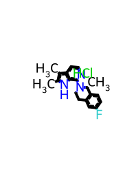 Cc1[nH]c2c(N3CCc4cc(F)ccc4C3C)nccc2c1C.Cl